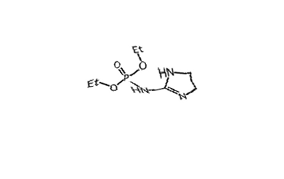 CCOP(=O)(NC1=NCCN1)OCC